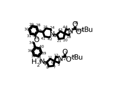 CC(C)(C)OC(=O)N1CC2(CC[C@@H](N)C2)C1.CC(C)(C)OC(=O)N1CC2(CC[C@@H](N3CCC(c4ccccc4OCc4ccccc4)CC3)C2)C1